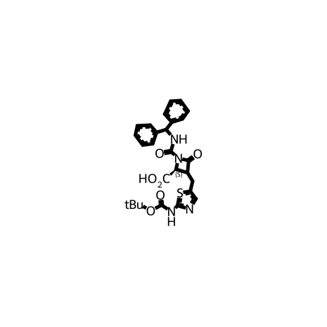 CC(C)(C)OC(=O)Nc1ncc(CC2C(=O)N(C(=O)NC(c3ccccc3)c3ccccc3)[C@@H]2C(=O)O)s1